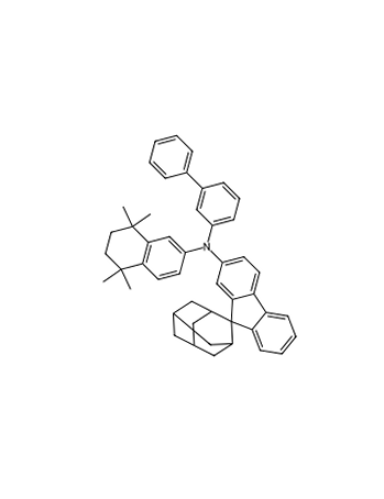 CC1(C)CCC(C)(C)c2cc(N(c3cccc(-c4ccccc4)c3)c3ccc4c(c3)C3(c5ccccc5-4)C4CC5CC(C4)CC3C5)ccc21